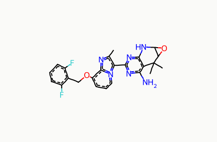 Cc1nc2c(OCc3c(F)cccc3F)cccn2c1-c1nc(N)c2c(n1)NC1OC1C2(C)C